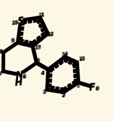 Fc1ccc(C2NCCc3sccc32)cc1